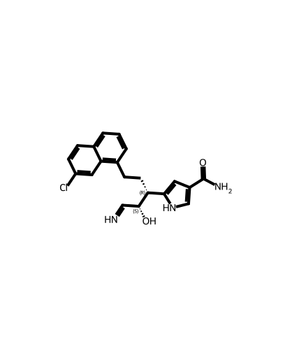 N=C[C@@H](O)[C@H](CCc1cccc2ccc(Cl)cc12)c1cc(C(N)=O)c[nH]1